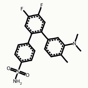 Cc1ccc(-c2cc(F)c(F)cc2-c2ccc(S(N)(=O)=O)cc2)cc1N(C)C